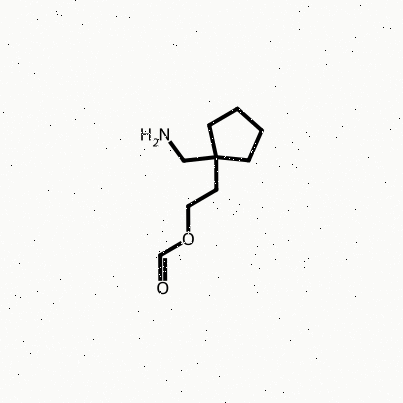 NCC1(CCOC=O)CCCC1